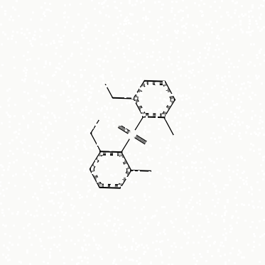 Cc1cccc(CO)c1S(=O)(=O)c1c(C)cccc1CO